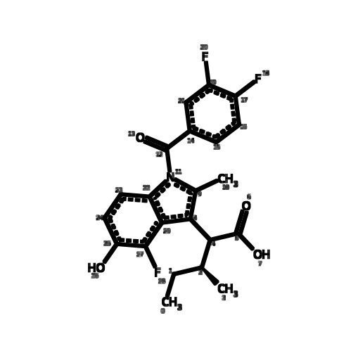 CC[C@H](C)C(C(=O)O)c1c(C)n(C(=O)c2ccc(F)c(F)c2)c2ccc(O)c(F)c12